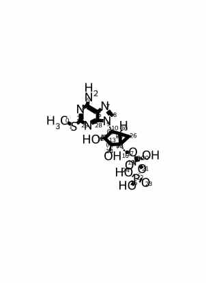 CSc1nc(N)c2ncn([C@H]3[C@H](O)[C@H](O)[C@]4(COP(=O)(O)OP(=O)(O)O)C[C@H]34)c2n1